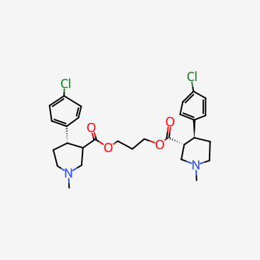 CN1CC[C@H](c2ccc(Cl)cc2)C(C(=O)OCCCOC(=O)[C@H]2CN(C)CC[C@@H]2c2ccc(Cl)cc2)C1